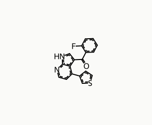 O=C(c1ccccc1F)c1c[nH]c2nccc(-c3ccsc3)c12